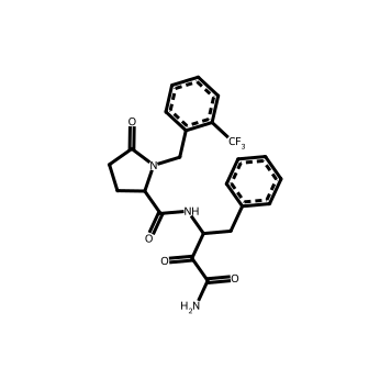 NC(=O)C(=O)C(Cc1ccccc1)NC(=O)C1CCC(=O)N1Cc1ccccc1C(F)(F)F